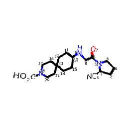 N#C[C@@H]1CCCN1C(=O)CNC1CCC2(CC1)CCN(C(=O)O)CC2